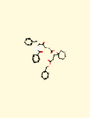 O=C(CCC1(OC(=O)CCC(=O)[C@H](Cc2ccccc2)NC(=O)c2ccccc2)CCCCC1)OCc1ccccc1